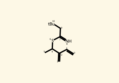 C=CC(=C)C(C)SC(=N)CC(C)(C)C